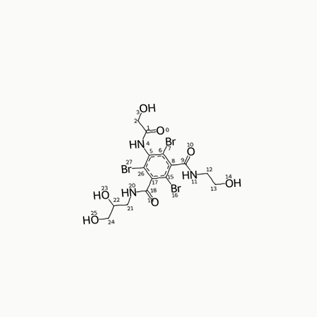 O=C(CO)Nc1c(Br)c(C(=O)NCCO)c(Br)c(C(=O)NCC(O)CO)c1Br